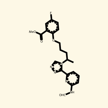 COC(=O)c1cc(F)ccc1OCCCC(C)n1cnnc1-c1cccc(NC=O)n1